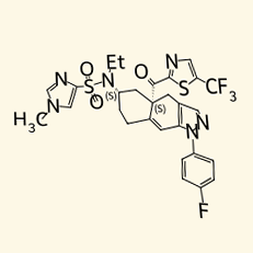 CCN([C@H]1CCC2=Cc3c(cnn3-c3ccc(F)cc3)C[C@]2(C(=O)c2ncc(C(F)(F)F)s2)C1)S(=O)(=O)c1cn(C)cn1